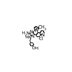 Cn1ccc(-c2nc(N)c(NCCc3ccc(O)cc3)nc2-c2cc(Cl)c3ncccc3c2)n1